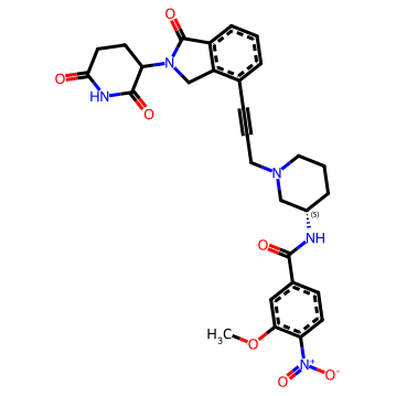 COc1cc(C(=O)N[C@H]2CCCN(CC#Cc3cccc4c3CN(C3CCC(=O)NC3=O)C4=O)C2)ccc1[N+](=O)[O-]